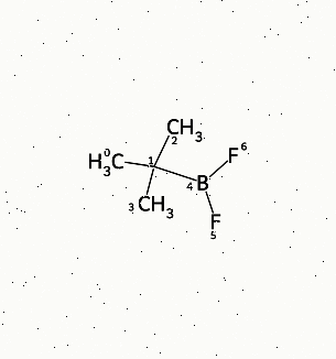 CC(C)(C)B(F)F